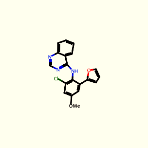 COc1cc(Cl)c(Nc2ncnc3ccccc23)c(-c2ccco2)c1